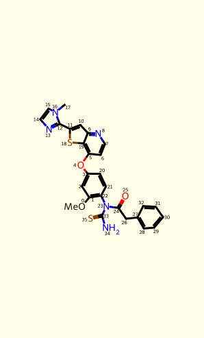 COc1cc(Oc2ccnc3cc(-c4nccn4C)sc23)ccc1N(C(=O)Cc1ccccc1)C(N)=S